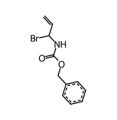 C=CC(Br)NC(=O)OCc1ccccc1